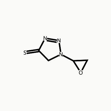 S=C1CN(C2CO2)N=N1